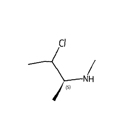 CN[C@@H](C)C(C)Cl